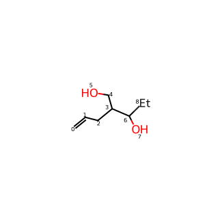 C=CCC(CO)C(O)CC